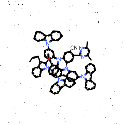 C=Cc1c(/C=C\C)c2ccccc2n1-c1ccc2c3ccc(-n4c5ccccc5c5ccccc54)cc3n(-c3cc(-c4nc(C)cc(C)n4)c(C#N)cc3-n3c4cc(-n5c6ccccc6c6ccccc65)ccc4c4ccc(-n5c6ccccc6c6ccccc65)cc43)c2c1